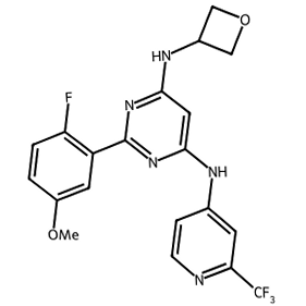 COc1ccc(F)c(-c2nc(Nc3ccnc(C(F)(F)F)c3)cc(NC3COC3)n2)c1